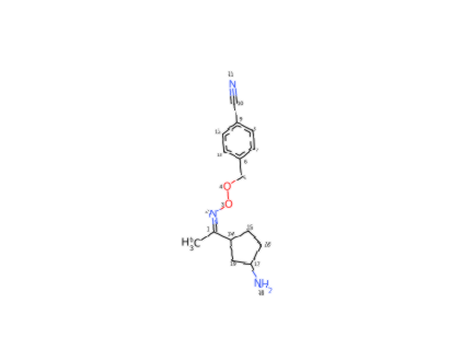 C/C(=N/OOCc1ccc(C#N)cc1)C1CCC(N)C1